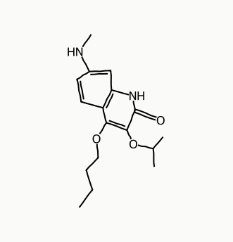 CCCCOc1c(OC(C)C)c(=O)[nH]c2cc(NC)ccc12